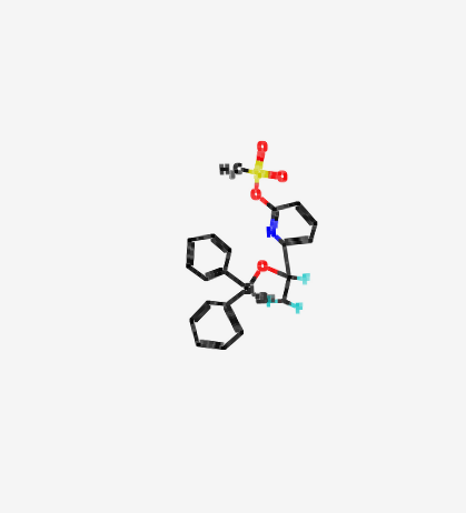 CC(C)(C)[Si](OC(F)(c1cccc(OS(C)(=O)=O)n1)C(F)F)(c1ccccc1)c1ccccc1